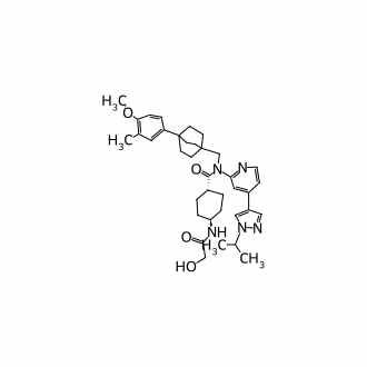 COc1ccc(C23CCC(CN(c4cc(-c5cnn(C(C)C)c5)ccn4)C(=O)[C@H]4CC[C@H](NC(=O)CO)CC4)(CC2)CC3)cc1C